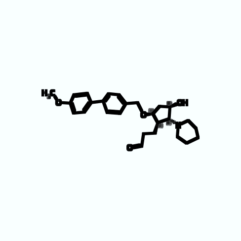 COc1ccc(-c2ccc(CO[C@H]3C[C@@H](O)[C@H](N4CCCCC4)[C@H]3CCC=O)cc2)cc1